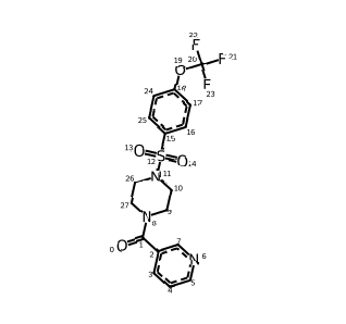 O=C(c1cccnc1)N1CCN(S(=O)(=O)c2ccc(OC(F)(F)F)cc2)CC1